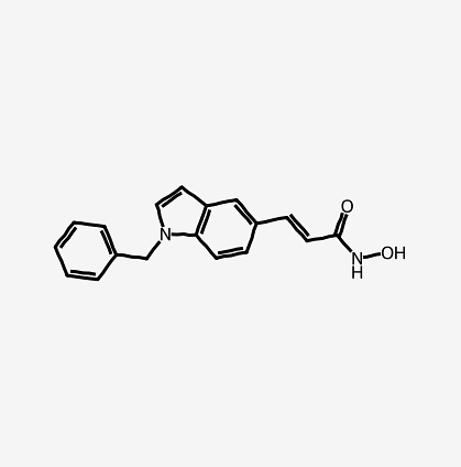 O=C(C=Cc1ccc2c(ccn2Cc2ccccc2)c1)NO